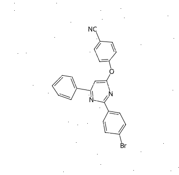 N#Cc1ccc(Oc2cc(-c3ccccc3)nc(-c3ccc(Br)cc3)n2)cc1